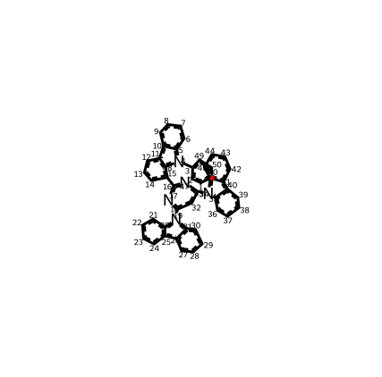 c1ccc(-n2c3ccccc3c3cccc(-c4nc(-n5c6ccccc6c6ccccc65)cc(-n5c6ccccc6c6ccccc65)n4)c32)cc1